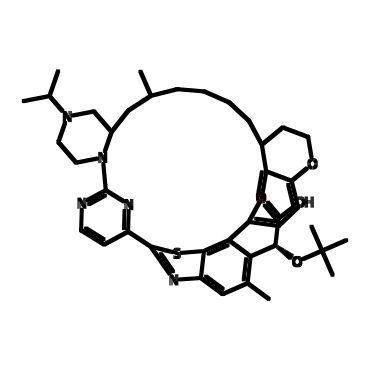 Cc1cc2nc3sc2c(c1[C@H](OC(C)(C)C)C(=O)O)-c1ccc2c(c1)C(CCCCC(C)CC1CN(C(C)C)CCN1c1nccc-3n1)CCO2